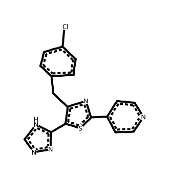 Clc1ccc(Cc2nc(-c3ccncc3)sc2-c2nnc[nH]2)cc1